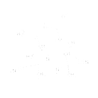 CC(C)(C#N)/N=N/C(C)(C)C#N.CC(C)OC(=O)OO